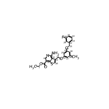 CCOC(=O)c1cnc(N)c2c(COc3cc(C)cc(OCc4cccc(F)c4)c3)csc12